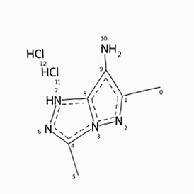 Cc1nn2c(C)n[nH]c2c1N.Cl.Cl